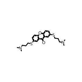 CN(C)CCCSc1ccc2oc3ccc(SCCCN(C)C)cc3c(=O)c2c1